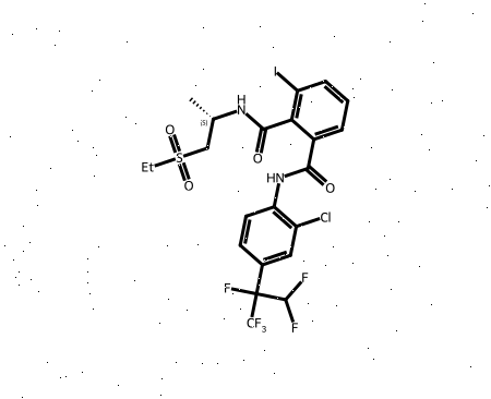 CCS(=O)(=O)C[C@H](C)NC(=O)c1c(I)cccc1C(=O)Nc1ccc(C(F)(C(F)F)C(F)(F)F)cc1Cl